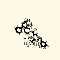 CN1CC(c2ccccc2)[C@]2(CCCN(C(=O)C(CSCc3ccccc3)NC(=O)C(C)(C)N)C2)C1=O